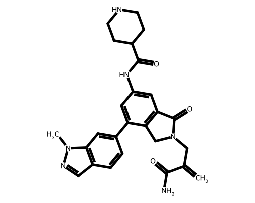 C=C(CN1Cc2c(cc(NC(=O)C3CCNCC3)cc2-c2ccc3cnn(C)c3c2)C1=O)C(N)=O